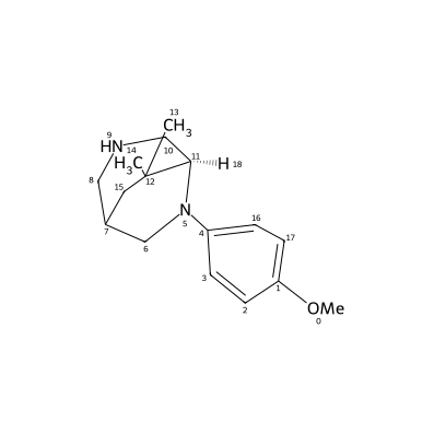 COc1ccc(N2CC3CNC[C@@H]2C(C)(C)C3)cc1